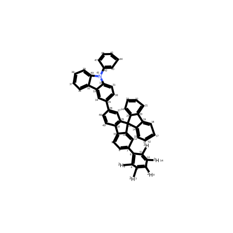 [2H]c1c([2H])c([2H])c(-c2ccc3c(c2)C2(c4ccccc4-c4ccccc42)c2cc(-c4ccc5c(c4)c4ccccc4n5-c4ccccc4)ccc2-3)c([2H])c1[2H]